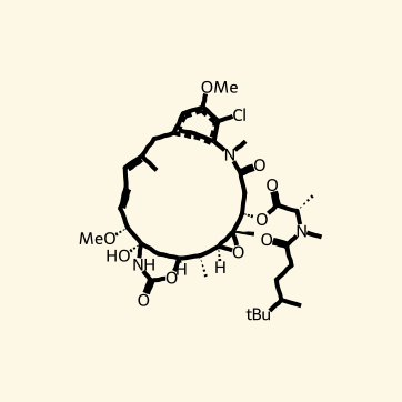 COc1cc2cc(c1Cl)N(C)C(=O)C[C@H](OC(=O)[C@H](C)N(C)C(=O)CCC(C)C(C)(C)C)[C@]1(C)O[C@H]1[C@H](C)[C@@H]1C[C@@](O)(NC(=O)O1)[C@H](OC)/C=C/C=C(\C)C2